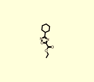 CCOC(=O)c1nc(C2CCCCC2)no1